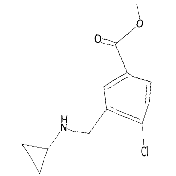 COC(=O)c1ccc(Cl)c(CNC2CC2)c1